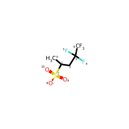 CC(CC(F)(F)C(F)(F)F)S([O])(=O)=O